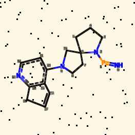 N=PN1CCCC12CCN(c1ccnc3c1C=CC3)C2